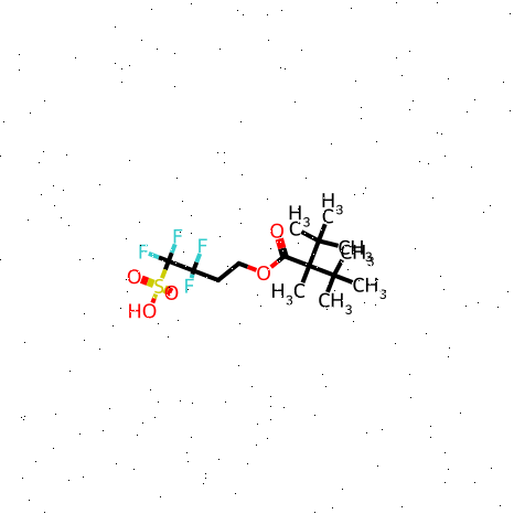 CC(C)(C)C(C)(C(=O)OCCC(F)(F)C(F)(F)S(=O)(=O)O)C(C)(C)C